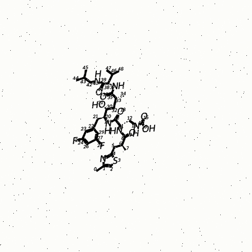 Cc1csc(C[C@H](C)C(=O)N[C@@H](CNC(=O)O)C(=O)N[C@@H](Cc2cc(F)cc(F)c2)[C@H](O)C[C@@H](C)C(=O)N[C@H](C(=O)NCC(C)C)C(C)C)n1